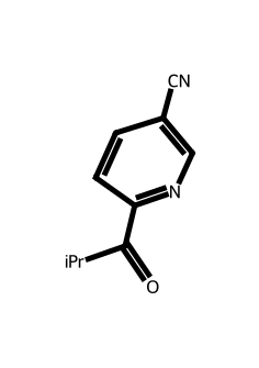 CC(C)C(=O)c1ccc(C#N)cn1